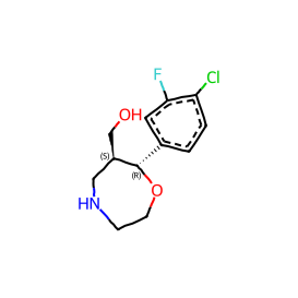 OC[C@@H]1CNCCO[C@H]1c1ccc(Cl)c(F)c1